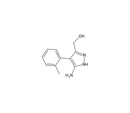 Cc1ccccc1-c1c(CO)n[nH]c1N